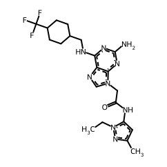 CCn1nc(C)cc1NC(=O)Cn1cnc2c(NCC3CCC(C(F)(F)F)CC3)nc(N)nc21